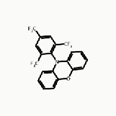 FC(F)(F)c1cc(C(F)(F)F)c(N2c3ccccc3Oc3ccccc32)c(C(F)(F)F)c1